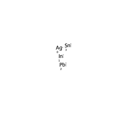 [Ag].[In].[Pb].[Sn]